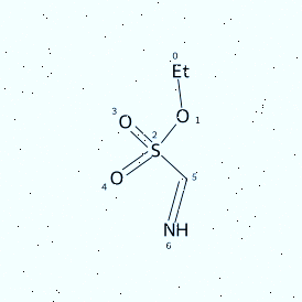 CCOS(=O)(=O)C=N